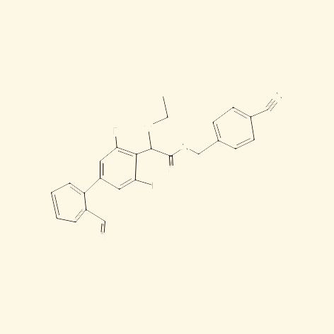 CCOC(C(=O)NCc1ccc(C#N)cc1)c1c(F)cc(-c2ccccc2C=O)cc1F